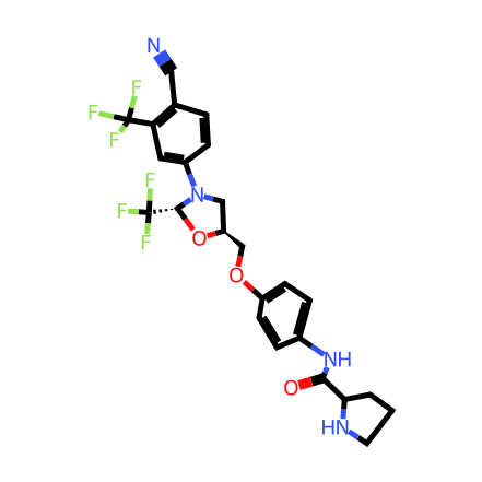 N#Cc1ccc(N2C[C@@H](COc3ccc(NC(=O)C4CCCN4)cc3)O[C@@H]2C(F)(F)F)cc1C(F)(F)F